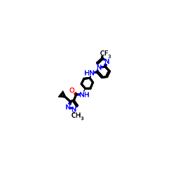 Cn1cc(C(=O)N[C@H]2CC[C@@H](Nc3cccc4nc(C(F)(F)F)cn34)CC2)c(C2CC2)n1